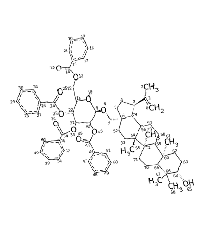 C=C(C)[C@@H]1CC[C@]2(CO[C@@H]3OC(COC(=O)c4ccccc4)[C@@H](OC(=O)c4ccccc4)C(OC(=O)c4ccccc4)C3OC(=O)c3ccccc3)CC[C@]3(C)C(CCC4[C@@]5(C)CC[C@H](O)C(C)(C)C5CC[C@]43C)C12